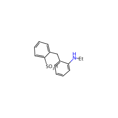 CCNc1ccccc1Cc1ccccc1S(=O)(=O)O